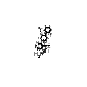 COc1cccc(F)c1C1CCN(c2cnnc(NN)c2C(F)(F)F)CC1